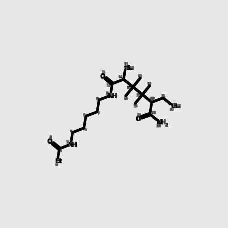 CCC(=O)NCCCCCNC(=O)C(C(C)(C)C)C(C)(C)C(C)(C)C(CC(C)(C)C)C(N)=O